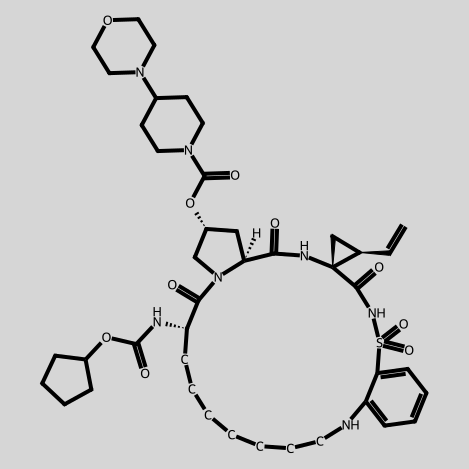 C=C[C@@H]1C[C@@]12NC(=O)[C@@H]1C[C@@H](OC(=O)N3CCC(N4CCOCC4)CC3)CN1C(=O)[C@@H](NC(=O)OC1CCCC1)CCCCCCCNc1ccccc1S(=O)(=O)NC2=O